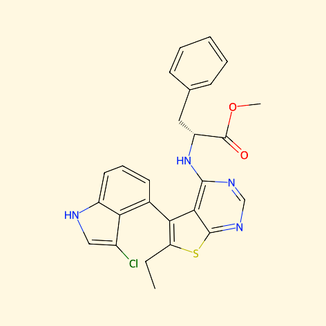 CCc1sc2ncnc(N[C@H](Cc3ccccc3)C(=O)OC)c2c1-c1cccc2[nH]cc(Cl)c12